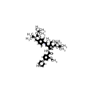 C=Cc1c(/C=C(\C)c2c(F)cc(CN(C(=O)OC(C)(C)C)C(C)C)cc2F)c(NC(=O)c2ccc(N3CCNCC3)cc2OC)nn1C(=O)OC(C)(C)C